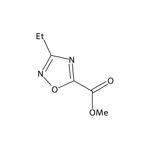 CCc1noc(C(=O)OC)n1